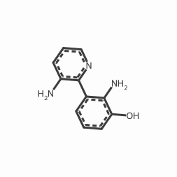 Nc1cccnc1-c1cccc(O)c1N